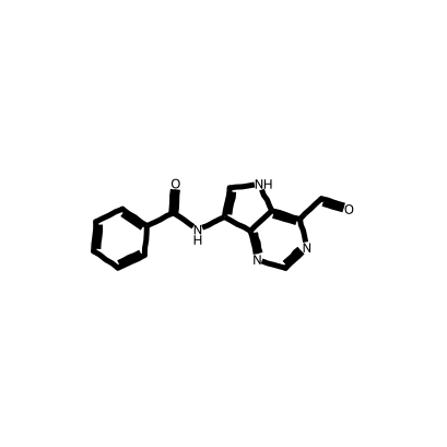 O=Cc1ncnc2c(NC(=O)c3ccccc3)c[nH]c12